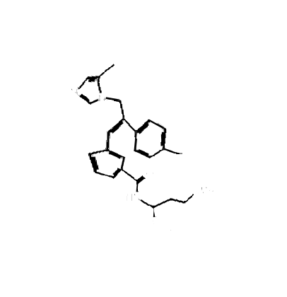 CSCC[C@H](NC(=O)c1cccc(/C=C(/Cn2cncc2C)c2ccc(F)cc2)c1)C(=O)O